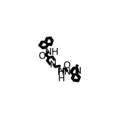 Cc1cc(NC(=O)NCCN2CCC(C(=O)Nc3cccc4ccccc34)CC2)c2ccccc2n1